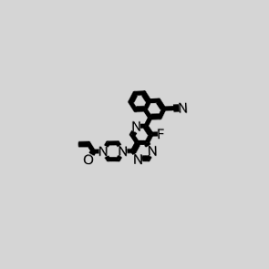 C=CC(=O)N1CCN(c2ncnc3c(F)c(-c4cc(C#N)cc5ccccc45)ncc23)CC1